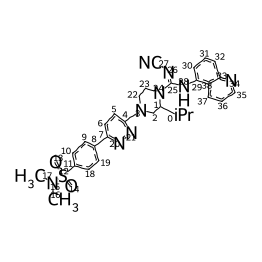 CC(C)C1CN(c2ccc(-c3ccc(S(=O)(=O)N(C)C)cc3)nn2)CCN1/C(=N\C#N)Nc1cccc2ncccc12